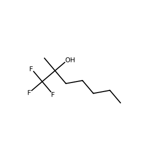 CCCCCC(C)(O)C(F)(F)F